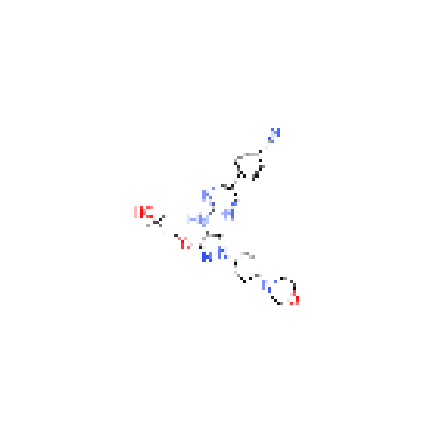 CC(C)(O)CCOc1nn(C2CCC(N3CCOCC3)CC2)cc1Nc1ncc(-c2ccc(C#N)cc2)cn1